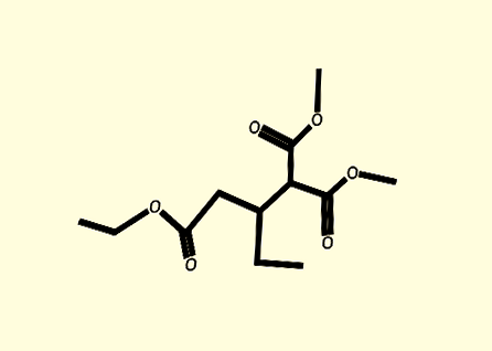 CCOC(=O)CC(CC)C(C(=O)OC)C(=O)OC